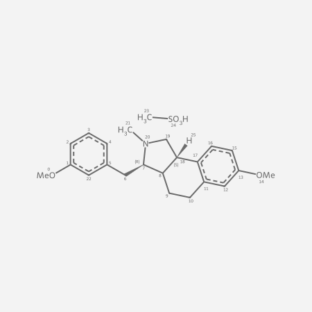 COc1cccc(C[C@@H]2C3CCc4cc(OC)ccc4[C@H]3CN2C)c1.CS(=O)(=O)O